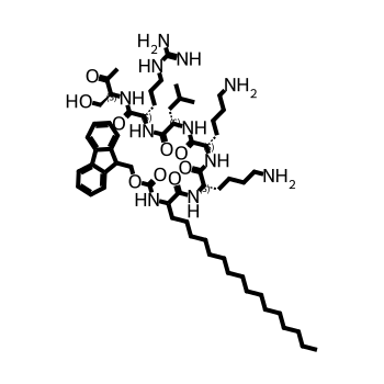 CCCCCCCCCCCCCCCCC(NC(=O)OCC1c2ccccc2-c2ccccc21)C(=O)N[C@@H](CCCCN)C(=O)N[C@@H](CCCCN)C(=O)N[C@@H](CC(C)C)C(=O)N[C@@H](CCCNC(=N)N)C(=O)N[C@@H](CO)C(C)=O